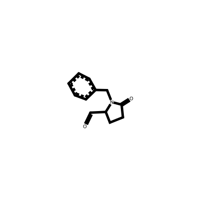 O=CC1CCC(=O)N1Cc1ccccc1